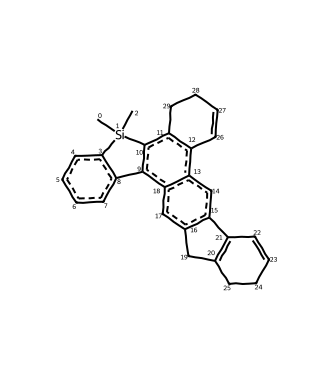 C[Si]1(C)c2ccccc2-c2c1c1c(c3cc4c(cc23)CC2=C4C=CCC2)C=CCC1